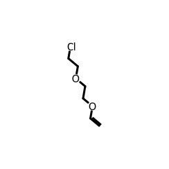 C=COCCOCCCl